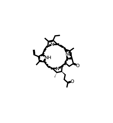 C=Cc1c(C)c2cc3nc(c4c5[nH]c(cc6nc(cc1[nH]2)C(C)=C6CC)c(C)c5C(=O)C4)[C@@H](CCC(C)=O)[C@@H]3C